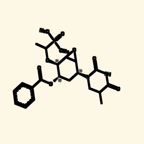 COP(=O)(OC)C(C)O[C@H]1C2OC2[C@@H](N2CC(C)C(=O)NC2=O)C[C@@H]1OC(=O)c1ccccc1